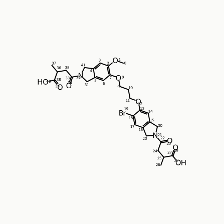 COc1cc2c(cc1OCCCOc1cc3c(cc1Br)CN(C(=O)CC(C)C(=O)O)C3)CN(C(=O)CC(C)C(=O)O)C2